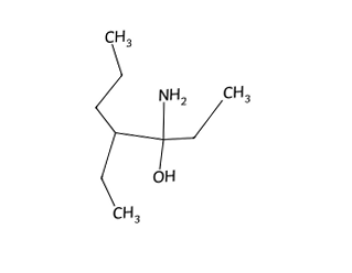 CCCC(CC)C(N)(O)CC